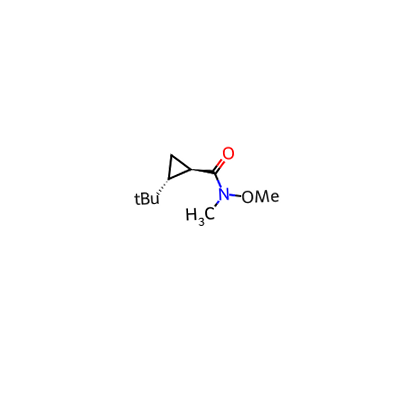 CON(C)C(=O)[C@@H]1C[C@H]1C(C)(C)C